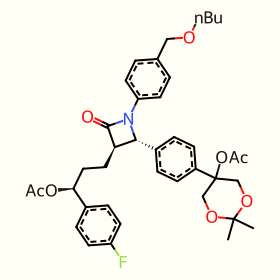 CCCCOCc1ccc(N2C(=O)[C@H](CC[C@H](OC(C)=O)c3ccc(F)cc3)[C@H]2c2ccc(C3(OC(C)=O)COC(C)(C)OC3)cc2)cc1